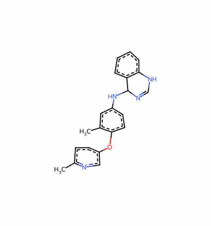 Cc1ccc(Oc2ccc(NC3N=CNc4cc[c]cc43)cc2C)cn1